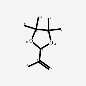 C=C(C)C1OC(C)(C)C(C)(C)O1